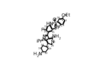 CCOc1ccc(F)c(S(=O)(=O)Nc2cc(F)c(-c3nn(C(C)C)c4c3c(N)ncc4[C@H]3CC[C@H](N)CC3)cc2F)c1